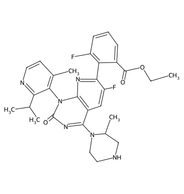 CCOC(=O)c1cccc(F)c1-c1nc2c(cc1F)c(N1CCNCC1C)nc(=O)n2-c1c(C)ccnc1C(C)C